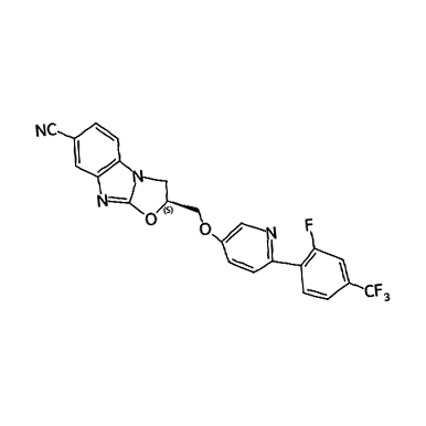 N#Cc1ccc2c(c1)nc1n2C[C@@H](COc2ccc(-c3ccc(C(F)(F)F)cc3F)nc2)O1